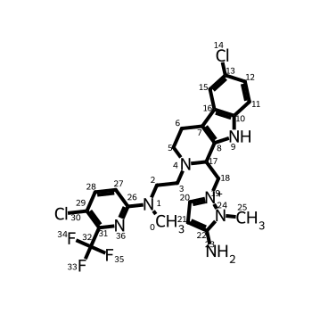 CN(CCN1CCc2c([nH]c3ccc(Cl)cc23)C1C[n+]1ccc(N)n1C)c1ccc(Cl)c(C(F)(F)F)n1